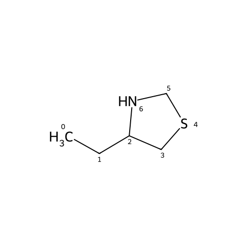 CCC1CSCN1